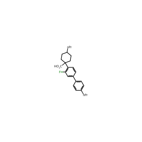 CCCc1ccc(-c2ccc(C3(C(=O)O)CCC(CCC)CC3)c(F)c2)cc1